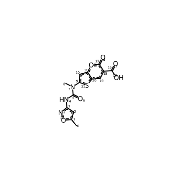 Cc1cc(NC(=O)N(C)c2cc3oc(=O)c(C(=O)O)cc3s2)no1